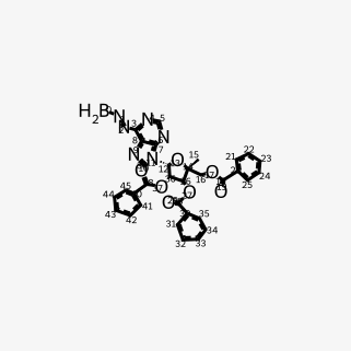 BN=Nc1ncnc2c1ncn2[C@@H]1O[C@](C)(COC(=O)c2ccccc2)C(OC(=O)c2ccccc2)[C@@H]1OC(=O)c1ccccc1